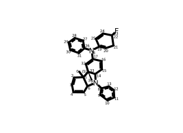 CC12C=CC=CC1N(c1ccccc1)C1C=CC(N(C3=CCC(F)C=C3)c3ccccc3)=C[C@]12C